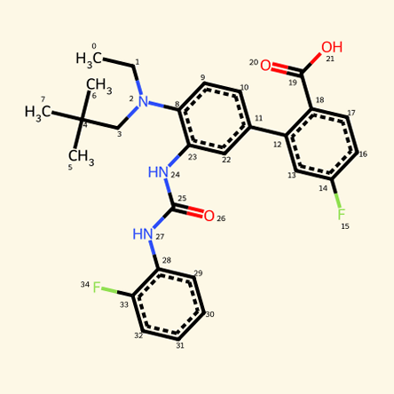 CCN(CC(C)(C)C)c1ccc(-c2cc(F)ccc2C(=O)O)cc1NC(=O)Nc1ccccc1F